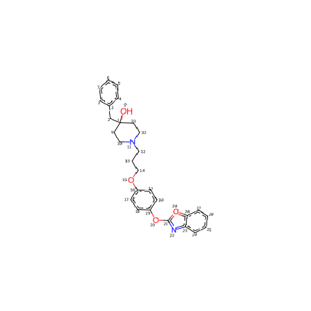 OC1(Cc2ccccc2)CCN(CCCOc2ccc(Oc3nc4ccccc4o3)cc2)CC1